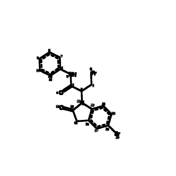 CC(C)CC(C(=O)Nc1ccccn1)N1C(=O)Cc2cc(Br)ccc21